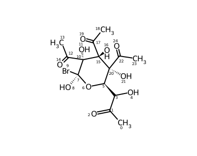 CC(=O)C(O)[C@H]1O[C@@](O)(Br)[C@@](O)(C(C)=O)[C@](O)(C(C)=O)[C@@]1(O)C(C)=O